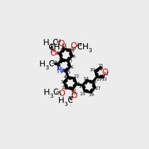 COc1cc(-c2cc3cc(OC)c(OC)c(OC)c3c(C)n2)cc(-c2cccc(-c3ccoc3)c2)c1OC